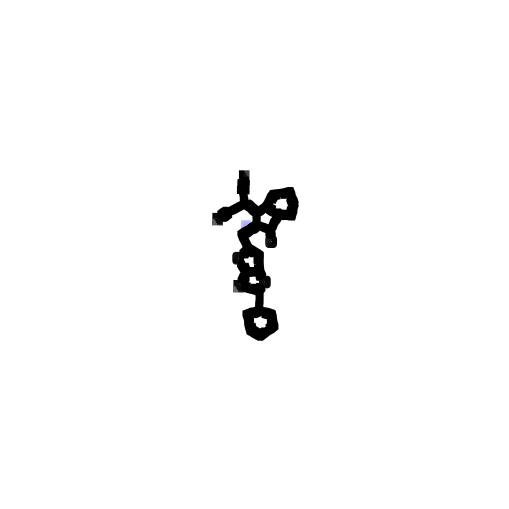 N#CC(C#N)=C1/C(=C/c2cc3oc(-c4ccccc4)nc3o2)C(=O)c2ccccc21